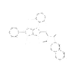 Cc1cccc(C)c1-n1c(C=C2C(=O)c3cc4ccccc4cc3C2=O)nc2c1cc(-c1ccccc1)n2C